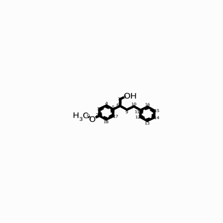 COc1ccc(C(CO)CCc2ccccc2)cc1